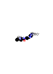 Cc1nc(-c2ccccc2C#N)ccc1C(=O)N(C)c1ccc(CN2CC[N+](C(=O)[O-])(C(C)(C)C)[C@@H](C)C2)cc1